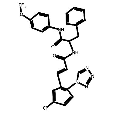 O=C(/C=C/c1cc(Cl)ccc1-n1cnnn1)NC(Cc1ccccc1)C(=O)Nc1ccc(OC(F)(F)F)cc1